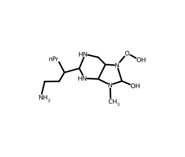 CCCC(CCN)C1NCC2C(N1)N(C)C(O)N2OO